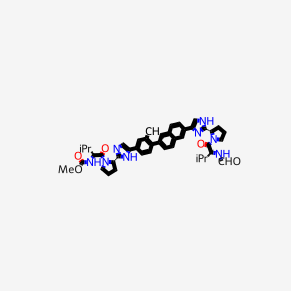 COC(=O)N[C@H](C(=O)N1CCC[C@H]1c1ncc(-c2ccc(-c3ccc4cc(-c5c[nH]c([C@@H]6CCCN6C(=O)[C@@H](NC=O)C(C)C)n5)ccc4c3)c(C)c2)[nH]1)C(C)C